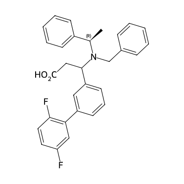 C[C@H](c1ccccc1)N(Cc1ccccc1)C(CC(=O)O)c1cccc(-c2cc(F)ccc2F)c1